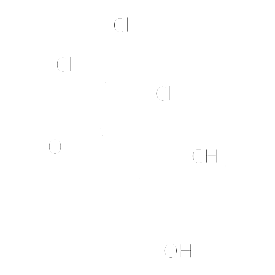 C/C(=C\O)C(=O)C(Cl)(Cl)Cl